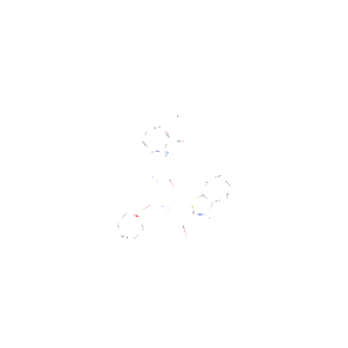 CC(C)[C@H](NC(=O)OC(C)(C)C)C(=O)N1C(c2ccccc2)SC[C@H]1C(=O)N[C@@H](Cc1ccccc1)C(=O)c1nc2ccccc2s1